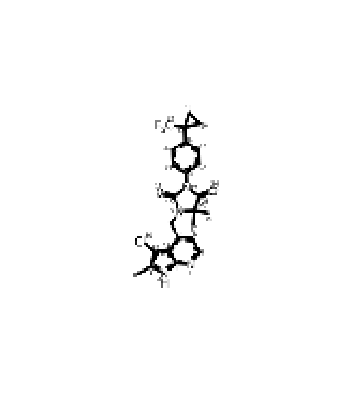 Cc1[nH]c2nccc(CN3C(=O)N(c4ccc(C5(C(F)(F)F)CC5)cc4)C(=O)C3(C)C)c2c1Cl